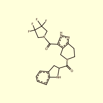 O=C(c1[nH]nc2c1CN(C(=O)C1Cc3ccccc3N1)CC2)N1CC(F)(F)C(F)(F)C1